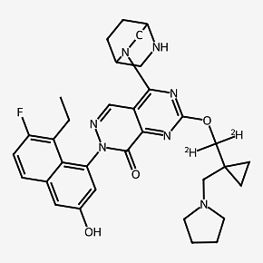 [2H]C([2H])(Oc1nc(N2CC3CCC2CN3)c2cnn(-c3cc(O)cc4ccc(F)c(CC)c34)c(=O)c2n1)C1(CN2CCCC2)CC1